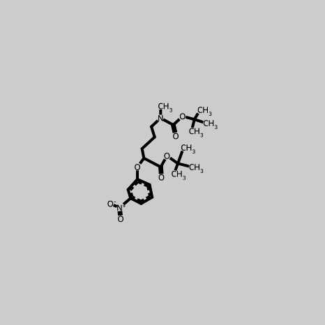 CN(CCCC(Oc1cccc([N+](=O)[O-])c1)C(=O)OC(C)(C)C)C(=O)OC(C)(C)C